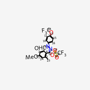 COc1ccc(/C(=N\N(C=O)c2ccc(OC(F)(F)F)cc2)OS(=O)(=O)C(F)(F)F)c(C)c1